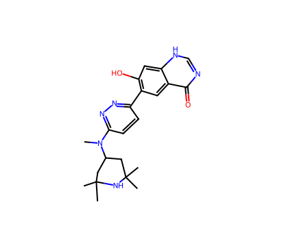 CN(c1ccc(-c2cc3c(=O)nc[nH]c3cc2O)nn1)C1CC(C)(C)NC(C)(C)C1